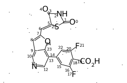 O=C1NC(=O)C(=Cc2cc3cncc(-c4cc(F)c(C(=O)O)c(F)c4)c3o2)S1